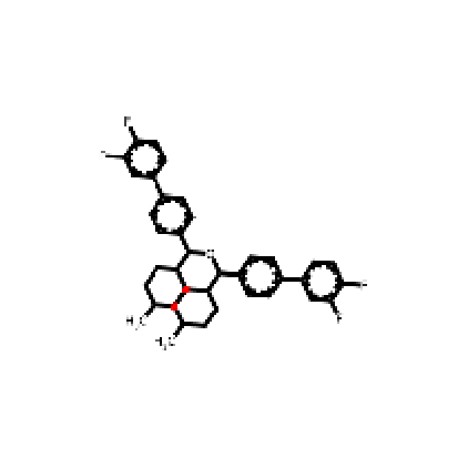 CC1CCC(C(OC(c2ccc(-c3ccc(F)c(F)c3)cc2)C2CCC(C)CC2)c2ccc(-c3ccc(F)c(F)c3)cc2)CC1